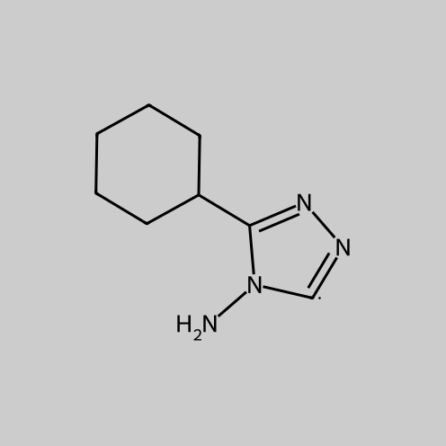 Nn1[c]nnc1C1CCCCC1